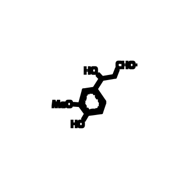 COc1cc(C(O)C[C]=O)ccc1O